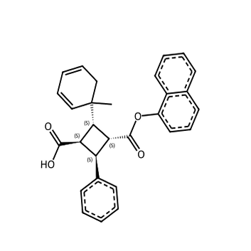 CC1([C@H]2[C@H](C(=O)O)[C@H](c3ccccc3)[C@H]2C(=O)Oc2cccc3ccccc23)C=CC=CC1